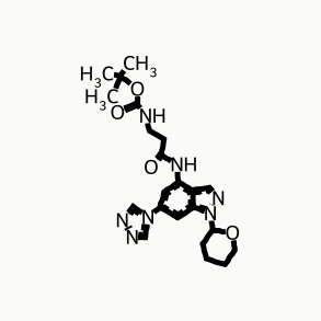 CC(C)(C)OC(=O)NCCC(=O)Nc1cc(-n2cnnc2)cc2c1cnn2C1CCCCO1